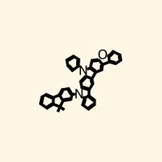 CC1(C)c2ccccc2-c2ccc(-n3c4ccccc4c4cc5c6cc7c(cc6n(-c6ccccc6)c5cc43)oc3ccccc37)cc21